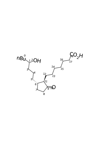 CCCCC(O)CCC[C@H]1CCC(=O)[C@@H]1CCCCCCC(=O)O